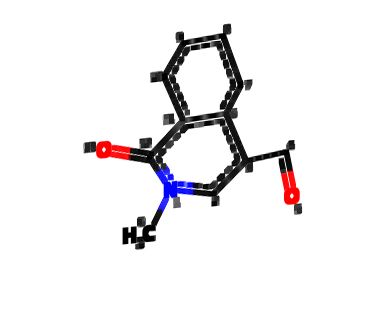 Cn1cc(C=O)c2ccccc2c1=O